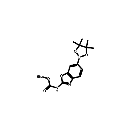 CC(C)(C)OC(=O)Nc1nc2ccc(B3OC(C)(C)C(C)(C)O3)cc2o1